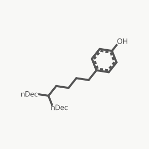 CCCCCCCCCCC(CCCCCCCCCC)CCCCc1ccc(O)cc1